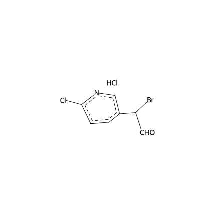 Cl.O=CC(Br)c1ccc(Cl)nc1